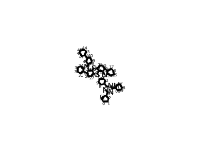 c1ccc(C2=NC(c3cccc(-n4c5ccccc5c5ccc6c(c54)Sc4ccc5c7ccccc7n(-c7cccc(-c8ccccc8)c7)c5c4S6)c3)NC(c3ccccc3)=N2)cc1